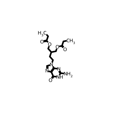 CCC(=O)OCC(CCn1cnc2c(=O)[nH]c(N)nc21)COC(=O)CC